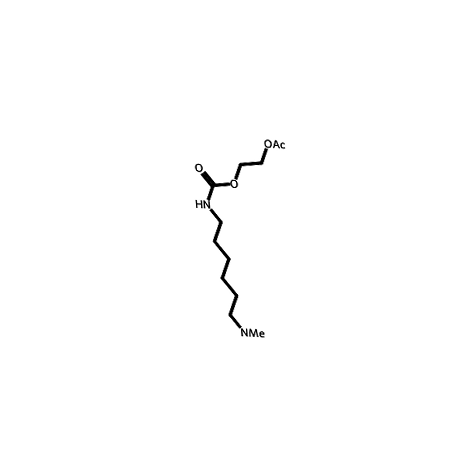 CNCCCCCCNC(=O)OCCOC(C)=O